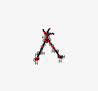 C#CCCCCOc1cc(C(=O)Nc2cc(C(=O)NCCCOCCOCCOCCCNC(=O)CCCCC3SCC4NC(=O)NC43)cc(C(=O)NCCCOCCOCCOCCCNC(=O)CCCCC3SCC4NC(=O)NC43)c2)cc(OCCCCC#C)c1OCCCCC#C